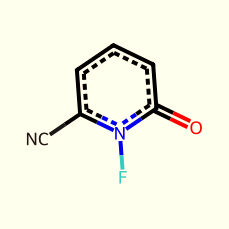 N#Cc1cccc(=O)n1F